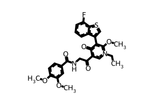 CCn1cc(C(=O)CNC(=O)c2ccc(OC)c(OC)c2)c(=O)c(-c2csc3c(F)cccc23)c1OC